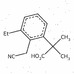 CCc1cccc(C(C)(C)C(=O)O)c1CC#N